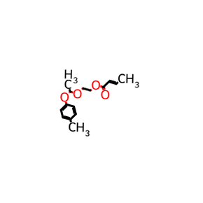 CC=CC(=O)OCCOC(C)Oc1ccc(C)cc1